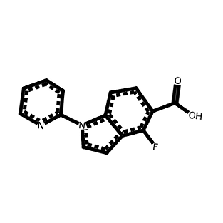 O=C(O)c1ccc2c(ccn2-c2ccccn2)c1F